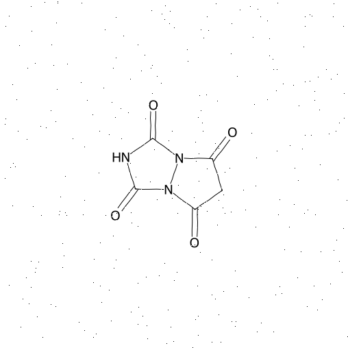 O=C1CC(=O)n2c(=O)[nH]c(=O)n21